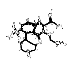 CCOn1c(C(N)=O)nc2ccc(S(C)(=O)=O)c(C3CCNCC3)c2c1=O